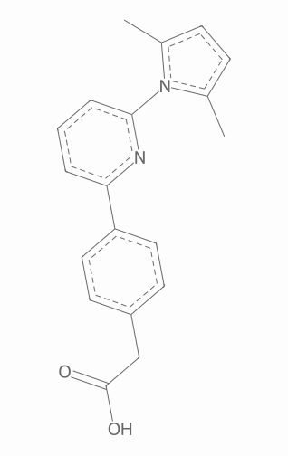 Cc1ccc(C)n1-c1cccc(-c2ccc(CC(=O)O)cc2)n1